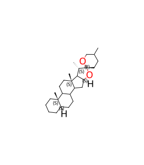 CC1CC[C@@]2(OC1)O[C@H]1CC3C4CC[C@@H]5CCCC[C@]5(C)C4CC[C@]3(C)C1[C@@H]2C